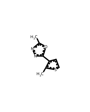 Cc1nnc(-c2ccsc2C)o1